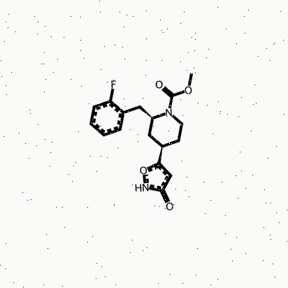 COC(=O)N1CC[C@@H](c2cc(=O)[nH]o2)C[C@H]1Cc1ccccc1F